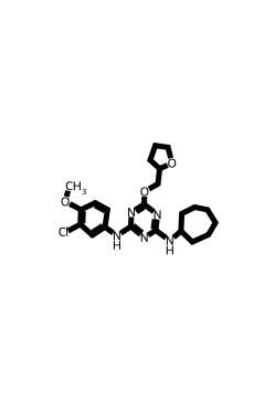 COc1ccc(Nc2nc(NC3CCCCCC3)nc(OCC3CCCO3)n2)cc1Cl